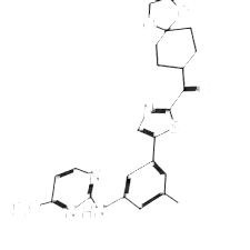 Cc1cc(Nc2nccc(C(F)(F)F)n2)cc(-c2cnc(C(=O)C3CCC4(CC3)OCCO4)s2)c1